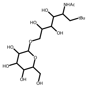 CC(=O)NC(CC(C)(C)C)C(O)C(O)C(O)COC1OC(CO)C(O)C(O)C1O